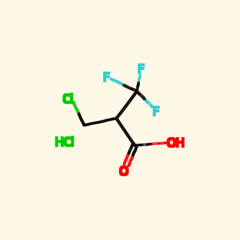 Cl.O=C(O)C(CCl)C(F)(F)F